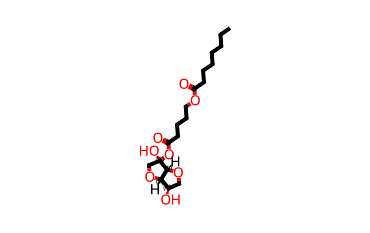 CCCCCCCC(=O)OCCCCC(=O)O[C@@]1(O)CO[C@@H]2[C@H](O)CO[C@@H]21